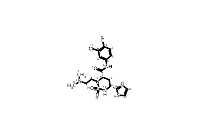 CN(C)CCN1[C@H](C(=O)Nc2ccc(F)c(Cl)c2)C[C@H](c2nccs2)NS1(=O)=O